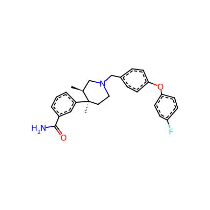 C[C@H]1CN(Cc2ccc(Oc3ccc(F)cc3)cc2)CC[C@@]1(C)c1cccc(C(N)=O)c1